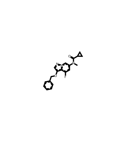 CN(C(=O)C1CC1)c1cc(F)c2c(OCc3ccccc3)cnn2c1